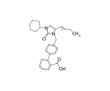 CC/C=C/c1cn(C2CCCCC2)c(=O)n1Cc1ccc(-c2ccccc2C(=O)O)cc1